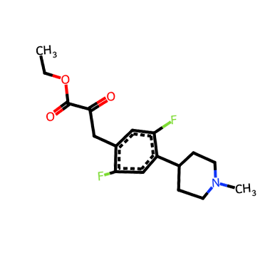 CCOC(=O)C(=O)Cc1cc(F)c(C2CCN(C)CC2)cc1F